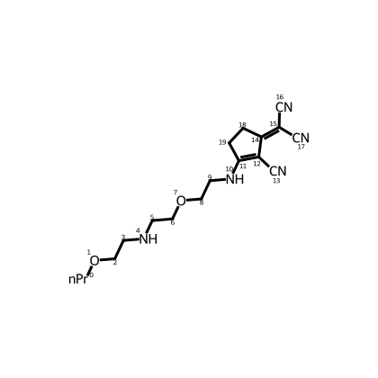 CCCOCCNCCOCCNC1=C(C#N)C(=C(C#N)C#N)CC1